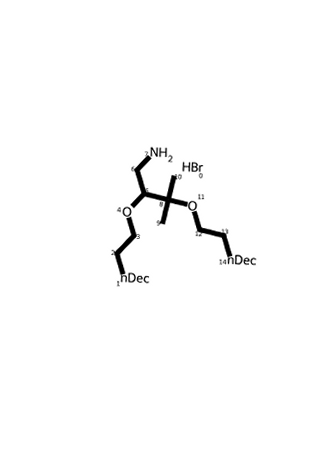 Br.CCCCCCCCCCCCOC(CN)C(C)(C)OCCCCCCCCCCCC